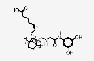 O=C(O)CCC/C=C\C[C@@H]1[C@H](CNCC(=O)Nc2cc(O)cc(O)c2)[C@@H]2CC[C@H]1O2